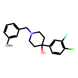 COc1cccc(CN2CCC(O)(c3ccc(Cl)c(F)c3)CC2)c1